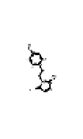 O=C1C=CC(=O)N1CCc1ccc(F)cc1